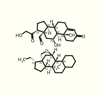 CC[C@H]1CC[C@H]2[C@@H]3CCC4CCCC[C@]4(C)[C@H]3[C@@H]3C[C@]12CO3.C[C@]12CCC(=O)C=C1CC[C@@H]1[C@@H]2[C@@H](O)C[C@]2(C=O)[C@@H](C(=O)CO)CC[C@@H]12